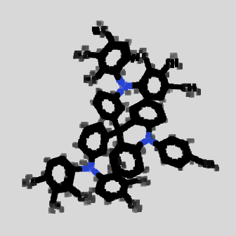 Cc1ccc(N2c3ccccc3C(c3cccc(N(c4ccc(C)c(C)c4C)c4ccc(C)c(C)c4C)c3)(c3cccc(N(c4ccc(C)c(C)c4C)c4ccc(C)c(C)c4C)c3)c3ccccc32)cc1